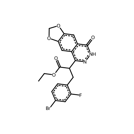 CCOC(=O)C(Cc1ccc(Br)cc1F)c1n[nH]c(=O)c2cc3c(cc12)OCO3